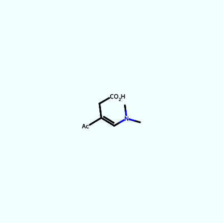 CC(=O)C(=CN(C)C)CC(=O)O